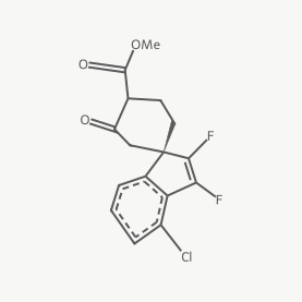 COC(=O)C1CC[C@@]2(CC1=O)C(F)=C(F)c1c(Cl)cccc12